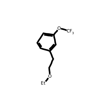 [CH2]COCCc1cccc(OC(F)(F)F)c1